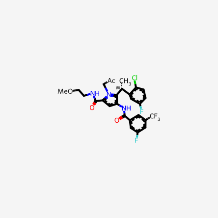 COCCNC(=O)c1cc(NC(=O)c2cc(F)cc(C(F)(F)F)c2)c([C@H](C)c2cc(F)ccc2Cl)n1CC(C)=O